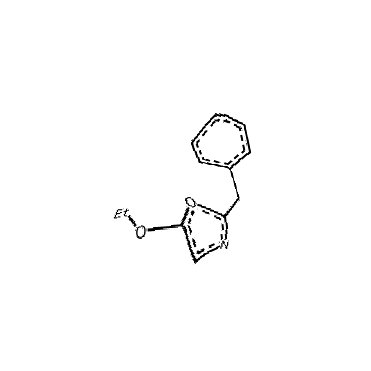 CCOc1cnc(Cc2ccccc2)o1